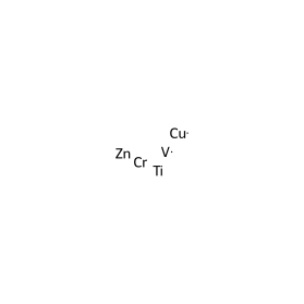 [Cr].[Cu].[Ti].[V].[Zn]